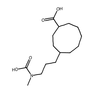 CN(CCCC1CCCCCC(C(=O)O)CC1)C(=O)O